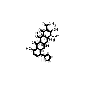 CN(C)[C@@H]1C(O)=C(C(N)=O)C(=O)[C@@]2(O)C(O)=C3C(=O)c4c(O)ccc(-c5ccc[nH]5)c4C[C@H]3C[C@@H]12